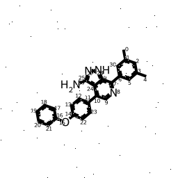 Cc1cc(C)cc(-c2ncc(-c3ccc(Oc4ccccc4)cc3)c3c(N)n[nH]c23)c1